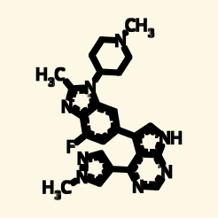 Cc1nc2c(F)cc(-c3c[nH]c4ncnc(-c5cnn(C)c5)c34)cc2n1C1CCN(C)CC1